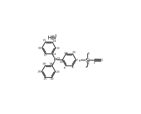 Br.C#C[Si](C)(C)C.c1ccc(P(c2ccccc2)c2ccccc2)cc1